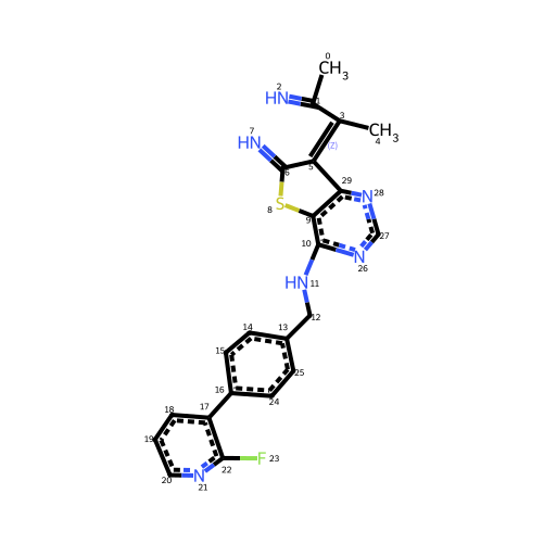 CC(=N)/C(C)=C1\C(=N)Sc2c(NCc3ccc(-c4cccnc4F)cc3)ncnc21